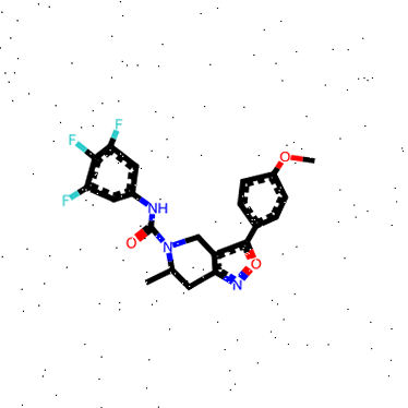 COc1ccc(-c2onc3c2CN(C(=O)Nc2cc(F)c(F)c(F)c2)C(C)C3)cc1